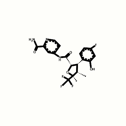 C[C@H]1[C@@H](c2ccc(F)cc2O)[C@@H](C(=O)Nc2ccnc(C(N)=O)c2)O[C@]1(C)C(F)(F)F